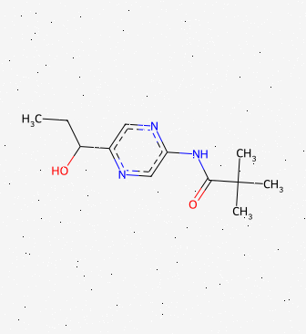 CCC(O)c1cnc(NC(=O)C(C)(C)C)cn1